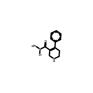 CCCN(CC)C(=O)C1=C(c2ccccc2)CCNC1